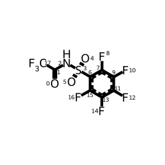 O=C(NS(=O)(=O)c1c(F)c(F)c(F)c(F)c1F)C(F)(F)F